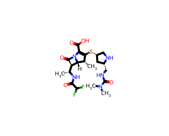 C[C@@H](NC(=O)C(F)F)[C@H]1C(=O)N2C(C(=O)O)=C(S[C@@H]3CN[C@H](CNC(=O)N(C)C)C3)[C@H](C)[C@H]12